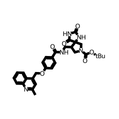 Cc1cc(COc2ccc(C(=O)NCC3CN(C(=O)OC(C)(C)C)CC34NC(=O)NC4=O)cc2)c2ccccc2n1